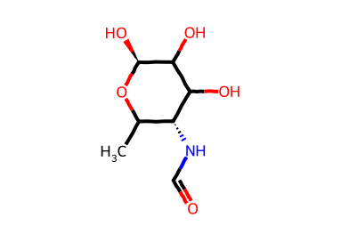 CC1O[C@@H](O)C(O)C(O)[C@@H]1NC=O